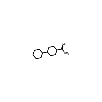 N=C(N)C1CCC(C2CCCCC2)CC1